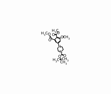 COC(=O)c1c(OC)cc(N2CCN(C(=O)OC(C)(C)C)CC2)cc1C1OC1OC